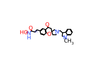 CN1CC(CN2CCC3(CC(=O)c4cc(/C=C/C(=O)NO)ccc4O3)C2)c2ccccc21